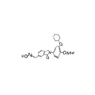 COc1ccc(N2Cc3ccc(C=NO)cc3C2=O)cc1OC1CCCCC1